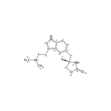 [2H][C@]1(Cc2ccc3[nH]cc(CCN(C)C)c3c2)COC(=O)N1